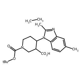 CC.Cc1ccc2c(c1)nc(C)n2C1CCN(C(=O)OC(C)(C)C)CC1C(=O)O